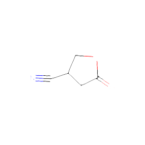 N#CC1[CH]C(=O)OC1